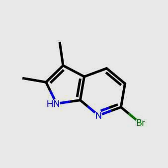 Cc1[nH]c2nc(Br)ccc2c1C